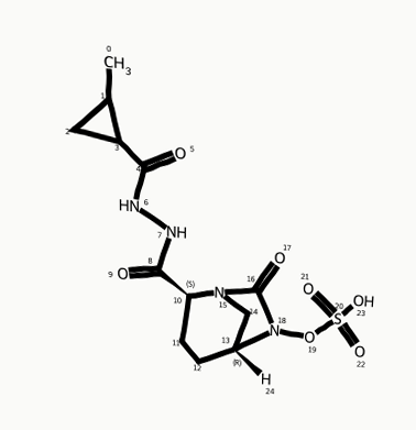 CC1CC1C(=O)NNC(=O)[C@@H]1CC[C@@H]2CN1C(=O)N2OS(=O)(=O)O